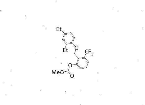 CCc1ccc(OCc2c(OC(=O)OC)cccc2C(F)(F)F)c(CC)c1